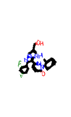 Cc1ccccc1-n1nc(-c2c(-c3ccc(F)cc3F)nn3c2NCC(CO)C3)ccc1=O